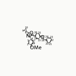 COc1ccc(-c2nc(C3CC3)oc2-c2ccc(OCc3ccccc3)cc2)cc1